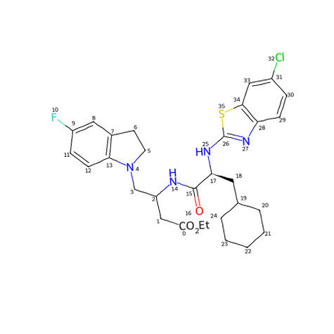 CCOC(=O)CC(CN1CCc2cc(F)ccc21)NC(=O)[C@H](CC1CCCCC1)Nc1nc2ccc(Cl)cc2s1